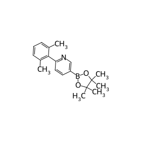 Cc1cccc(C)c1-c1ccc(B2OC(C)(C)C(C)(C)O2)cn1